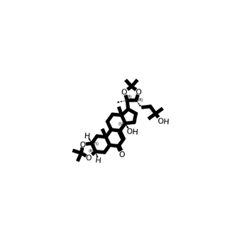 CC(C)(O)CC[C@H]1OC(C)(C)O[C@]1(C)C1CC[C@@]2(O)C3=CC(=O)C4C[C@H]5OC(C)(C)O[C@H]5CC4(C)C3CCC12C